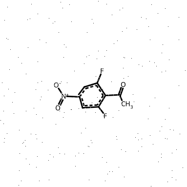 CC(=O)c1c(F)cc([N+](=O)[O-])cc1F